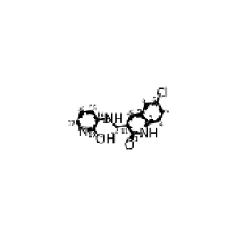 O=c1[nH]c2ccc(Cl)cc2cc1CNc1cccnc1O